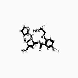 C[C@@H](O)COc1ccc(C(F)(F)F)cc1C(=O)/N=c1\cc(C(C)(C)C)n(C)n1C[C@H]1CCCO1